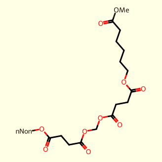 CCCCCCCCCOC(=O)CCC(=O)OCOC(=O)CCC(=O)OCCCCCC(=O)OC